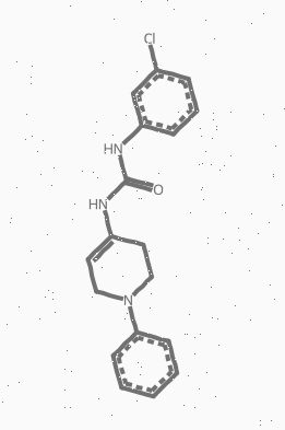 O=C(NC1=CCN(c2ccccc2)CC1)Nc1cccc(Cl)c1